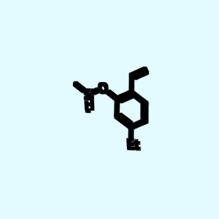 C=Cc1ccc(CC)cc1O[SiH](C)C